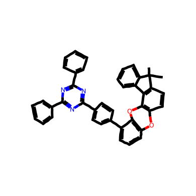 CC1(C)c2ccccc2-c2c1ccc1c2Oc2c(cccc2-c2ccc(-c3nc(-c4ccccc4)nc(-c4ccccc4)n3)cc2)O1